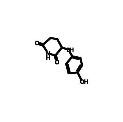 O=C1CCC(Bc2ccc(O)cc2)C(=O)N1